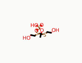 CC(OS(=O)(=O)O)(SCCO)SCCO